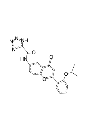 CC(C)Oc1ccccc1-c1cc(=O)c2cc(NC(=O)c3nnn[nH]3)ccc2o1